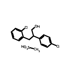 CS(=O)(=O)O.OCC(Cc1ccccc1Cl)c1ccc(Cl)cc1